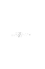 O=C(O)C(Cl)C(Cl)C(Cl)C(Cl)CCCCCCCCl